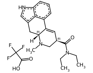 CCN(CC)C(=O)[C@@H]1C=C2c3cccc4[nH]cc(c34)C[C@H]2N(C)C1.O=C(O)C(F)(F)F